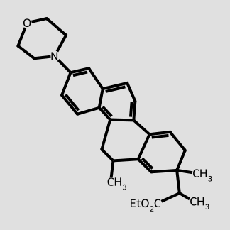 CCOC(=O)C(C)C1(C)C=C2C(=CC1)c1ccc3cc(N4CCOCC4)ccc3c1CC2C